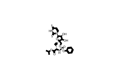 C#C[C@]1(COP(=O)(N[C@@H](C)C(=O)OC(C)C)Oc2ccccc2)O[C@@H](n2ccc(=S)[nH]c2=S)[C@@H](O)C1O